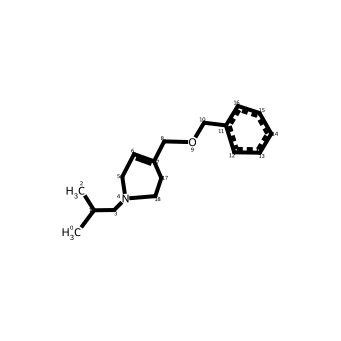 C[C](C)CN1CC=C(COCc2ccccc2)CC1